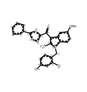 COc1ccc2c(c1)c(C(=O)c1nnc(-c3ccccc3)o1)c(C(F)(F)F)n2Cc1ccc(Cl)cc1Cl